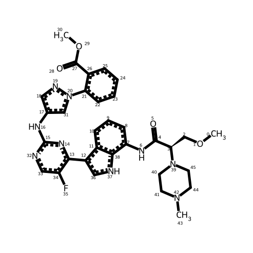 COC[C@H](C(=O)Nc1cccc2c(-c3nc(Nc4cnn(-c5ccccc5C(=O)OC)c4)ncc3F)c[nH]c12)N1CCN(C)CC1